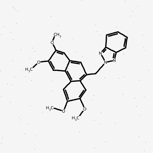 COc1cc2cc(Cn3nc4ccccc4n3)c3cc(OC)c(OC)cc3c2cc1OC